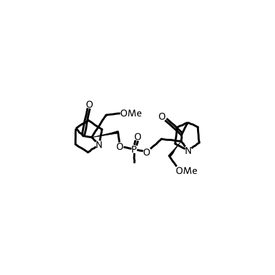 COC[C@@]1(COP(C)(=O)OC[C@]2(COC)C(=O)C3CCN2CC3)C(=O)C2CCN1CC2